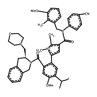 COc1cc(C(=O)N2Cc3ccccc3C[C@H]2CN2CCOCC2)c(-c2cc(C(=O)N(Cc3cccc(OC)c3C)c3ccc(C#N)cc3)c(C)n2C)cc1C(F)F